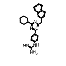 N=C(N)Nc1ccc(-c2cc(Cc3ccc4ccccc4c3)nc(C3CCCCC3)n2)cc1